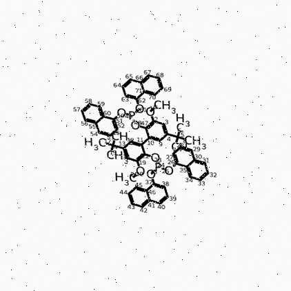 COc1cc(C(C)(C)C)cc(-c2cc(C(C)(C)C)cc(OC)c2OP(Oc2cccc3ccccc23)Oc2cccc3ccccc23)c1OP(Oc1cccc2ccccc12)Oc1cccc2ccccc12